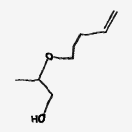 C=CCCOC(C)CO